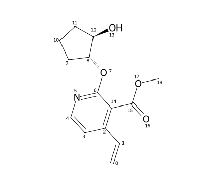 C=Cc1ccnc(O[C@@H]2CCC[C@H]2O)c1C(=O)OC